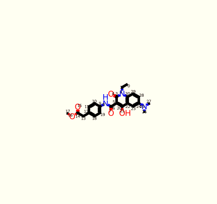 CCn1c(=O)c(C(=O)Nc2ccc(CC(=O)OC)cc2)c(O)c2cc(N(C)C)ccc21